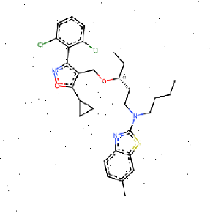 CCCCN(CC[C@@H](CC)OCc1c(-c2c(Cl)cccc2Cl)noc1C1CC1)c1nc2ccc(C)cc2s1